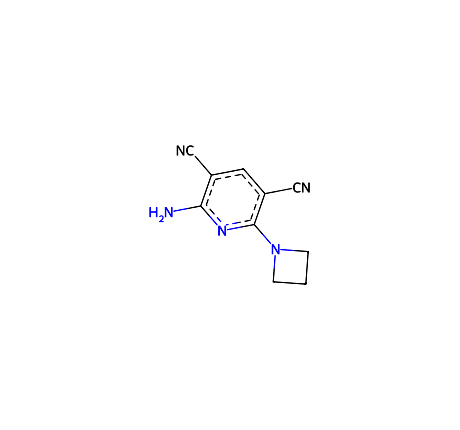 N#Cc1cc(C#N)c(N2CCC2)nc1N